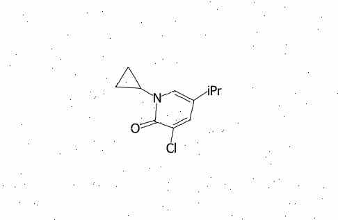 CC(C)c1cc(Cl)c(=O)n(C2CC2)c1